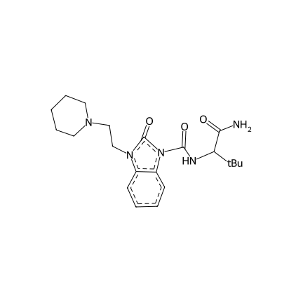 CC(C)(C)C(NC(=O)n1c(=O)n(CCN2CCCCC2)c2ccccc21)C(N)=O